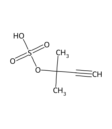 C#CC(C)(C)OS(=O)(=O)O